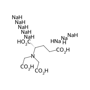 O=C(O)CC[C@@H](C(=O)O)N(CC(=O)O)CC(=O)O.[NaH].[NaH].[NaH].[NaH].[NaH].[NaH].[NaH].[NaH]